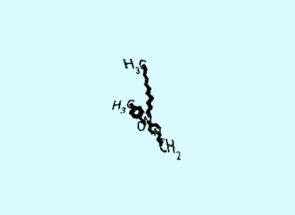 C=CCN1CCC(N(CCCCCCCCCCCC)C(=O)c2ccc(C)cc2)CC1